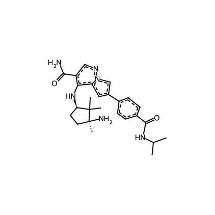 CC(C)NC(=O)c1ccc(-c2cc3c(N[C@@H]4CC[C@](C)(N)C4(C)C)c(C(N)=O)cnn3c2)cc1